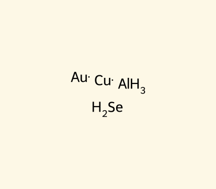 [AlH3].[Au].[Cu].[SeH2]